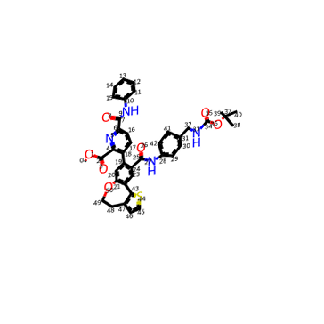 COC(=O)c1nc(C(=O)Nc2ccccc2)ccc1-c1cc2c(cc1C(=O)Nc1ccc(CNC(=O)OC(C)(C)C)cc1)-c1sccc1CCO2